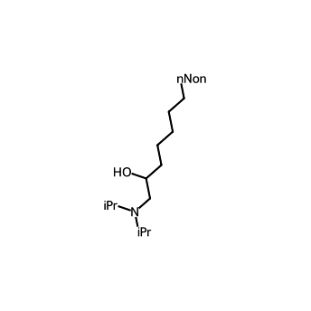 CCCCCCCCCCCCCCC(O)CN(C(C)C)C(C)C